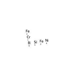 [B].[Cr].[Fe].[Fe].[Ni].[Si]